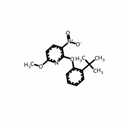 COc1ccc([N+](=O)[O-])c(Oc2ccccc2C(C)(C)C)n1